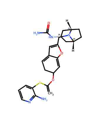 C=C(OC1C=c2oc(CN3[C@@H]4CC[C@H]3C[C@@H](NC(N)=O)C4)cc2=CC1)Sc1cccnc1N